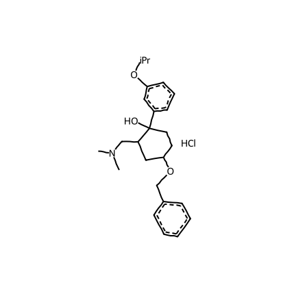 CC(C)Oc1cccc(C2(O)CCC(OCc3ccccc3)CC2CN(C)C)c1.Cl